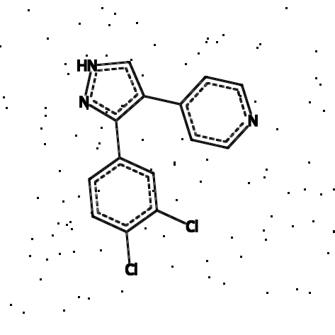 Clc1ccc(-c2n[nH]cc2-c2ccncc2)cc1Cl